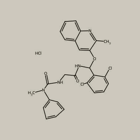 Cc1nc2ccccc2cc1OC(NC(=O)CNC(=O)N(C)c1ccccc1)c1c(Cl)cccc1Cl.Cl